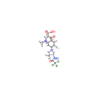 Cc1c(F)c(N2C[C@@H](NC(=O)C(F)(F)F)C(C)(C)C2)cc2c1c(=O)c(C(=O)O)cn2C1CC1